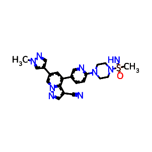 Cn1cc(-c2cc(-c3ccc(N4CCN(S(C)(=N)=O)CC4)nc3)c3c(C#N)cnn3c2)cn1